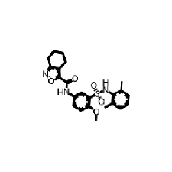 COc1ccc(NC(=O)c2onc3c2CCCC3)cc1S(=O)(=O)Nc1c(C)cccc1C